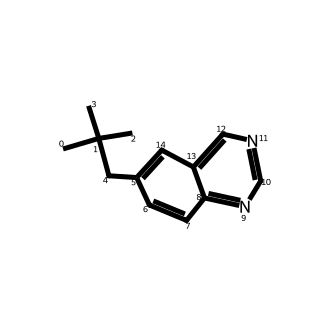 CC(C)(C)Cc1ccc2ncncc2c1